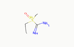 CC[SH](C)(=O)C(=N)N